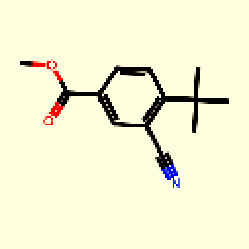 COC(=O)c1ccc(C(C)(C)C)c(C#N)c1